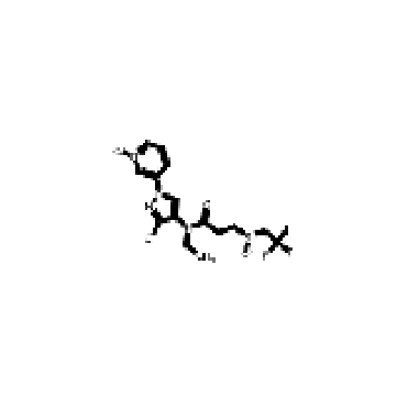 CCN(C(=O)CC[S+]([O-])CC(F)(F)F)c1cn(-c2ccc[n+]([O-])c2)nc1Cl